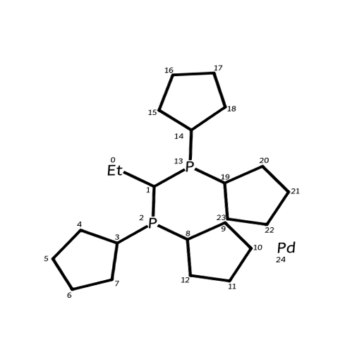 CCC(P(C1CCCC1)C1CCCC1)P(C1CCCC1)C1CCCC1.[Pd]